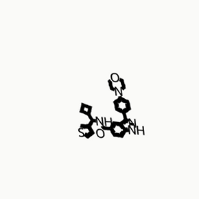 O=C(NC(c1ccsc1)C1CCC1)c1ccc2[nH]nc(-c3ccc(N4CCOCC4)cc3)c2c1